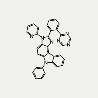 c1ccc(-n2c3ccccc3c3c4nc(-c5ccccc5-c5ncncn5)n(-c5ccccn5)c4ccc32)cc1